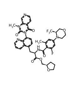 Cc1cc(N2CCOC[C@@H]2C(F)(F)F)cc(F)c1C(=O)NC(Cc1ccc(-n2c(=O)c3ccncc3n(C)c2=O)c2ncccc12)C(=O)OC[C@H]1CCCO1